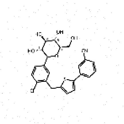 N#Cc1cccc(-c2ccc(Cc3cc(C4O[C@H](CO)[C@@H](O)[C@H](O)[C@H]4O)ccc3Cl)s2)c1